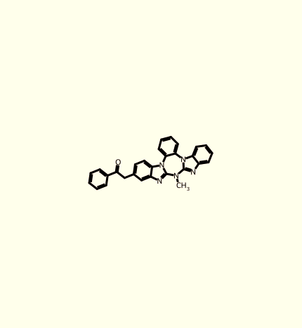 Cn1c2nc3ccccc3n2c2ccccc2n2c3ccc(CC(=O)c4ccccc4)cc3nc12